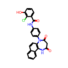 O=C1CC(=O)N(c2ccc(NC(=O)c3cccc(O)c3Cl)cc2)c2ccc3ccccc3c2N1